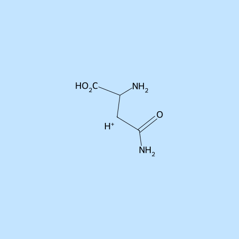 NC(=O)CC(N)C(=O)O.[H+]